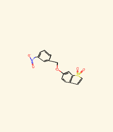 O=[N+]([O-])c1cccc(COc2ccc3c(c2)S(=O)(=O)C=C3)c1